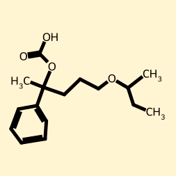 CCC(C)OCCCC(C)(OC(=O)O)c1ccccc1